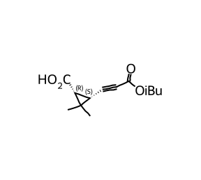 CC(C)COC(=O)C#C[C@H]1[C@@H](C(=O)O)C1(C)C